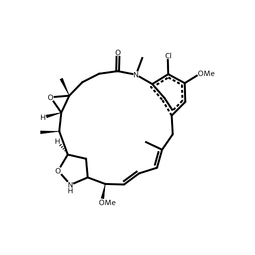 COc1cc2cc(c1Cl)N(C)C(=O)CC[C@@]1(C)O[C@H]1[C@H](C)[C@H]1CC(NO1)[C@H](OC)/C=C/C=C(\C)C2